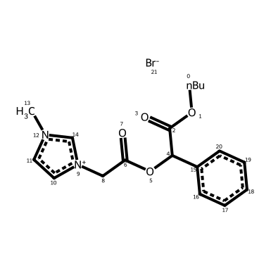 CCCCOC(=O)C(OC(=O)C[n+]1ccn(C)c1)c1ccccc1.[Br-]